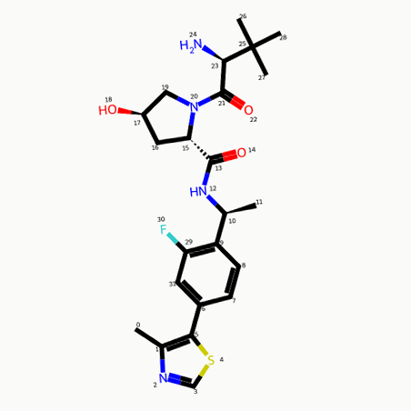 Cc1ncsc1-c1ccc([C@H](C)NC(=O)[C@@H]2C[C@@H](O)CN2C(=O)[C@@H](N)C(C)(C)C)c(F)c1